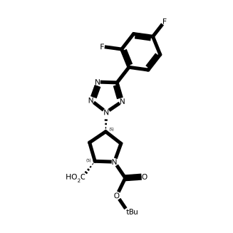 CC(C)(C)OC(=O)N1C[C@@H](n2nnc(-c3ccc(F)cc3F)n2)C[C@H]1C(=O)O